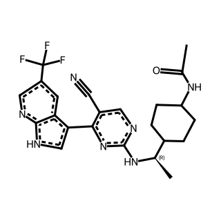 CC(=O)NC1CCC([C@@H](C)Nc2ncc(C#N)c(-c3c[nH]c4ncc(C(F)(F)F)cc34)n2)CC1